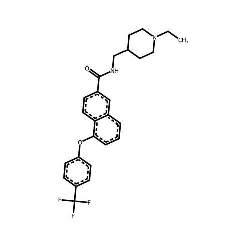 CCN1CCC(CNC(=O)c2ccc3c(Oc4ccc(C(F)(F)F)cc4)cccc3c2)CC1